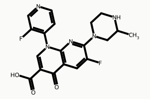 CC1CN(c2nc3c(cc2F)c(=O)c(C(=O)O)cn3-c2ccncc2F)CCN1